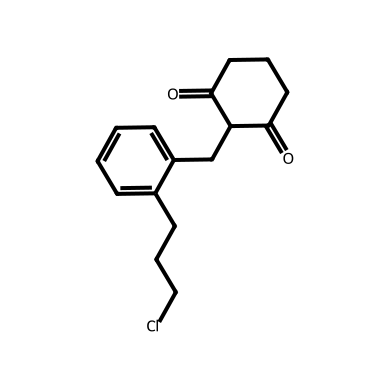 O=C1CCCC(=O)C1Cc1ccccc1CCCCl